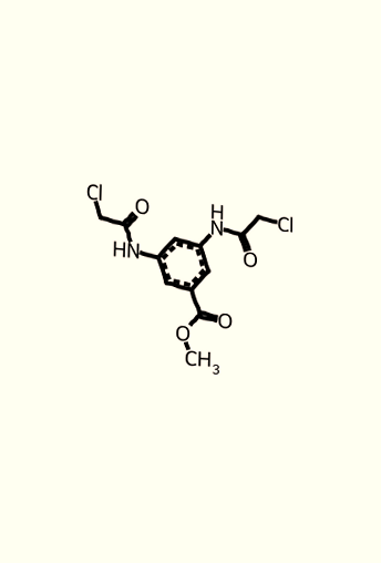 COC(=O)c1cc(NC(=O)CCl)cc(NC(=O)CCl)c1